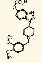 CCOc1cc(CN2CCC(n3nnc4cc(OC(=O)O)ccc43)CC2)ccc1OC(C)C